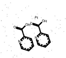 O=C(O)c1ccccn1.O=C(O)c1ccccn1.[Pt]